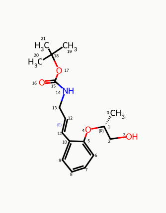 C[C@H](CO)Oc1ccccc1/C=C/CNC(=O)OC(C)(C)C